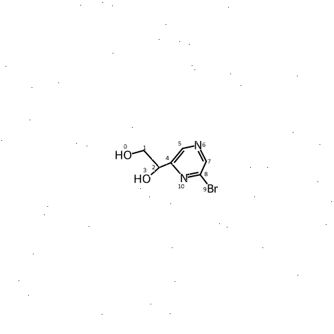 OCC(O)c1cncc(Br)n1